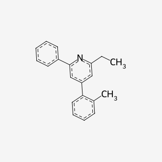 CCc1cc(-c2ccccc2C)cc(-c2ccccc2)n1